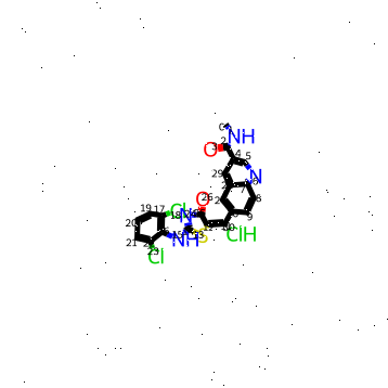 CNC(=O)c1cnc2ccc(C=C3SC(Nc4c(Cl)cccc4Cl)=NC3=O)cc2c1.Cl